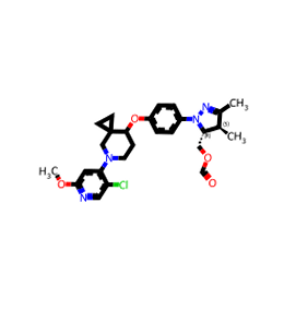 COc1cc(N2CCC(Oc3ccc(N4N=C(C)[C@@H](C)[C@@H]4COC=O)cc3)C3(CC3)C2)c(Cl)cn1